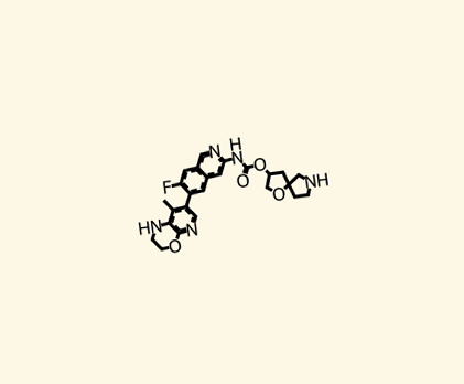 Cc1c(-c2cc3cc(NC(=O)OC4COC5(CCNC5)C4)ncc3cc2F)cnc2c1NCCO2